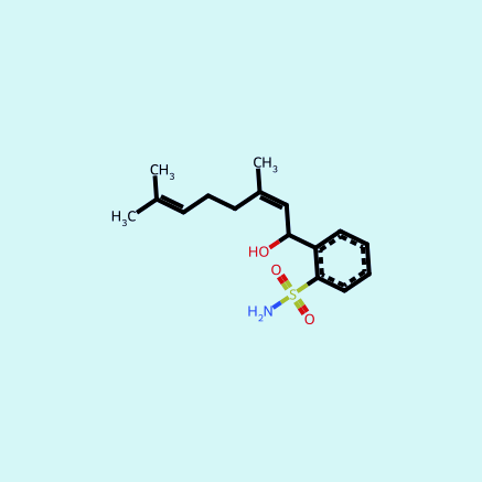 CC(C)=CCC/C(C)=C\C(O)c1ccccc1S(N)(=O)=O